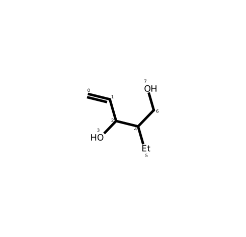 C=CC(O)C(CC)CO